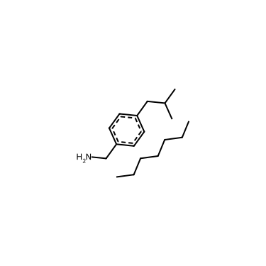 CC(C)Cc1ccc(CN)cc1.CCCCCCC